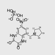 O=[PH](O)O.O=c1[nH]c2cc([N+](=O)[O-])cc(CN3CCCC3)c2[nH]c1=O